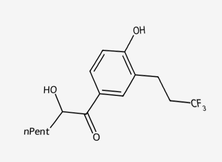 CCCCCC(O)C(=O)c1ccc(O)c(CCC(F)(F)F)c1